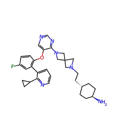 N[C@H]1CC[C@H](CCN2CC3(C2)CN(c2ncncc2Oc2ccc(F)cc2-c2cccnc2C2CC2)C3)CC1